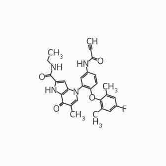 C#CC(=O)Nc1ccc(Oc2c(C)cc(F)cc2C)c(-n2cc(C)c(=O)c3[nH]c(C(=O)NCC)cc32)c1